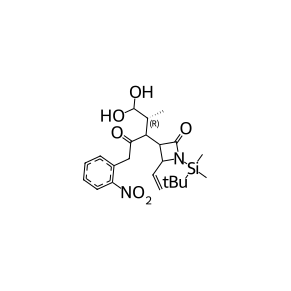 C=CC1C(C(C(=O)Cc2ccccc2[N+](=O)[O-])[C@@H](C)C(O)O)C(=O)N1[Si](C)(C)C(C)(C)C